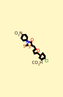 O=C(O)c1cc(-c2ccc(/C=C3\SC(=S)N(c4ccc([N+](=O)[O-])cc4)C3=O)o2)ccc1Cl